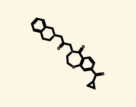 O=C(CN1CCc2ccccc2C1)CN1CCOc2cc(C(=O)C3CC3)ccc2C1=O